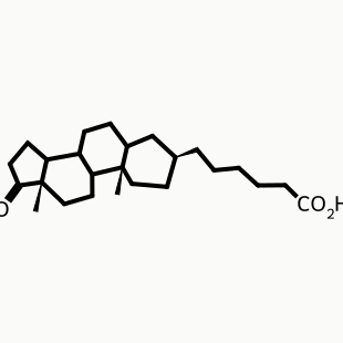 C[C@]12CC[C@H](CCCCCC(=O)O)CC1CCC1C2CC[C@]2(C)C(=O)CCC12